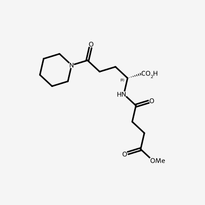 COC(=O)CCC(=O)N[C@H](CCC(=O)N1CCCCC1)C(=O)O